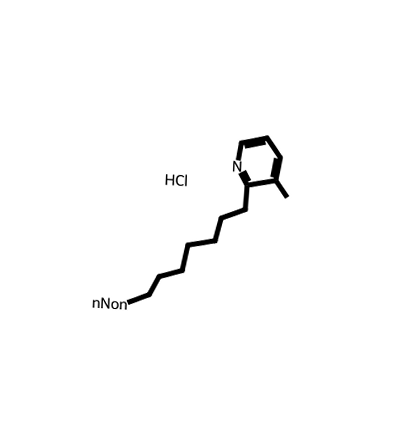 CCCCCCCCCCCCCCCCc1ncccc1C.Cl